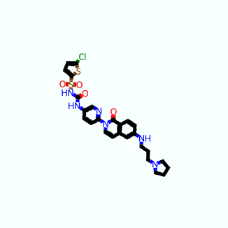 O=C(Nc1ccc(-n2ccc3cc(NCCCN4CCCC4)ccc3c2=O)nc1)NS(=O)(=O)c1ccc(Cl)s1